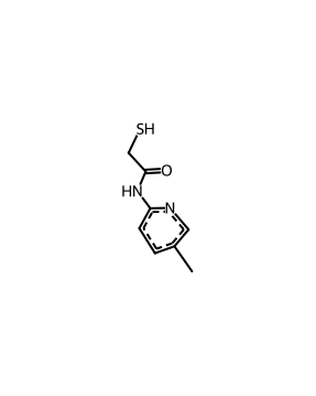 Cc1ccc(NC(=O)CS)nc1